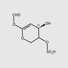 O=COC1=C[C@@H](O)C(OS(=O)(=O)O)CO1